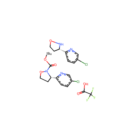 CC(C)(C)OC(=O)N1OCC[C@H]1c1ccc(Cl)cn1.Clc1ccc([C@@H]2CCON2)nc1.O=C(O)C(F)(F)F